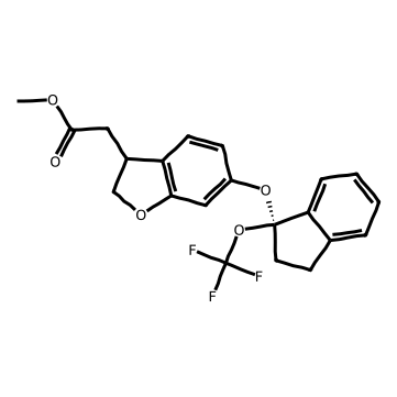 COC(=O)CC1COc2cc(O[C@@]3(OC(F)(F)F)CCc4ccccc43)ccc21